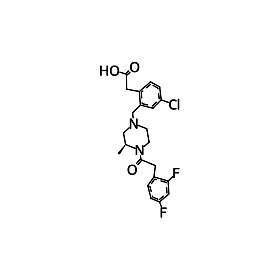 C[C@H]1CN(Cc2cc(Cl)ccc2CC(=O)O)CCN1C(=O)Cc1ccc(F)cc1F